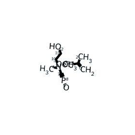 C=C(C)C(=O)[O-].C[N+](C)(C#P=O)CCO